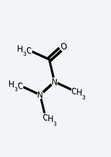 CC(=O)N(C)N(C)C